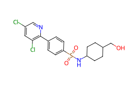 O=S(=O)(NC1CCC(CO)CC1)c1ccc(-c2ncc(Cl)cc2Cl)cc1